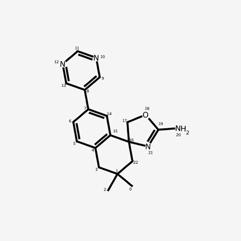 CC1(C)Cc2ccc(-c3cncnc3)cc2C2(COC(N)=N2)C1